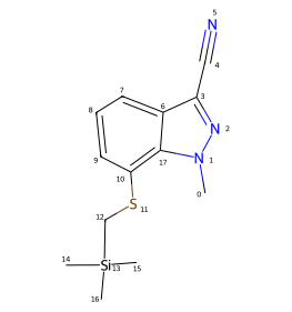 Cn1nc(C#N)c2cccc(SC[Si](C)(C)C)c21